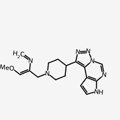 C=N/C(=C\OC)CN1CCC(c2nnn3cnc4[nH]ccc4c23)CC1